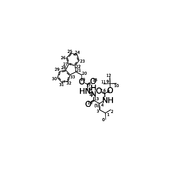 CC(C)C[C@H](NC(=O)OC(C)(C)C)C(=O)NNC(=O)OCC1c2ccccc2-c2ccccc21